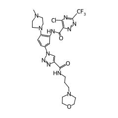 CN1CCN(c2ccc(-n3cc(C(=O)NCCCN4CCOCC4)nn3)cc2NC(=O)c2nnc(C(F)(F)F)nc2Cl)CC1